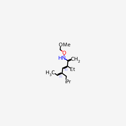 C=C(NOCOC)/C(=C/C(=C\C)CC(C)C)CC